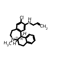 C=CCNc1cc2c(cc1Cl)CCN(C)[C@H]1CCc3ccccc3[C@H]21